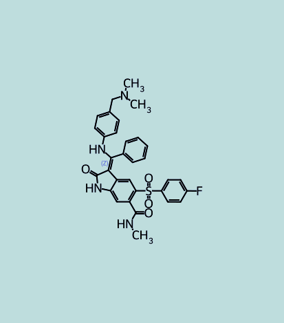 CNC(=O)c1cc2c(cc1S(=O)(=O)c1ccc(F)cc1)/C(=C(/Nc1ccc(CN(C)C)cc1)c1ccccc1)C(=O)N2